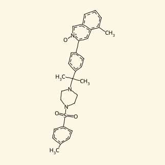 Cc1ccc(S(=O)(=O)N2CCN(C(C)(C)c3ccc(-c4cc5c(C)cccc5c[n+]4[O-])cc3)CC2)cc1